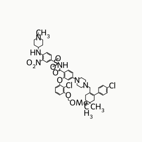 COCOc1cccc(Oc2cc(N3CCN(CC4=C(c5ccc(Cl)cc5)CC(C)(C)CC4)CC3)ccc2C(=O)NS(=O)(=O)c2ccc(NC3CCN(C)CC3)c([N+](=O)[O-])c2)c1Cl